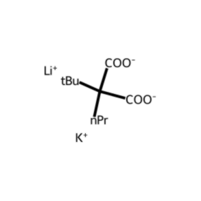 CCCC(C(=O)[O-])(C(=O)[O-])C(C)(C)C.[K+].[Li+]